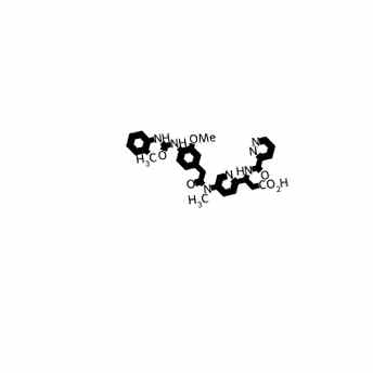 COc1cc(CC(=O)N(C)c2ccc(C(CC(=O)O)NC(=O)c3cccnn3)nc2)ccc1NC(=O)Nc1ccccc1C